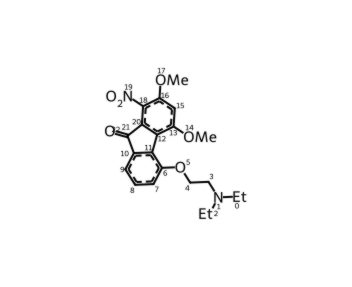 CCN(CC)CCOc1cccc2c1-c1c(OC)cc(OC)c([N+](=O)[O-])c1C2=O